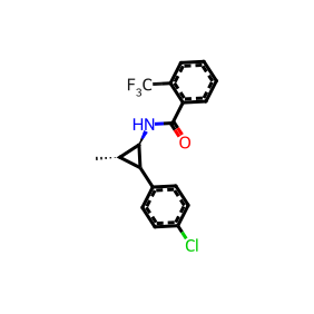 C[C@H]1C(c2ccc(Cl)cc2)[C@@H]1NC(=O)c1ccccc1C(F)(F)F